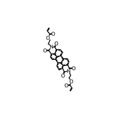 C=CC(=O)OCCN1C(=O)c2ccc3c4ccc5c6c(ccc(c7ccc(c2c37)C1=O)c64)C(=O)N(CCOC(=O)C=C)C5=O